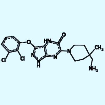 CC1(CN)CCN(c2nc3[nH]nc(Oc4cccc(Cl)c4Cl)c3[nH]c2=O)CC1